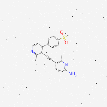 Cc1nc(N)ccc1C#Cc1c(-c2ccc(S(C)(=O)=O)cc2)ccnc1C